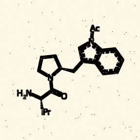 CC(=O)n1cc(C[C@@H]2CCCN2C(=O)[C@@H](N)C(C)C)c2ccccc21